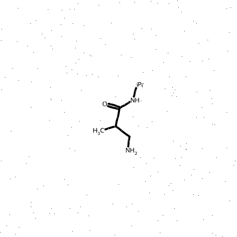 CC(C)NC(=O)C(C)CN